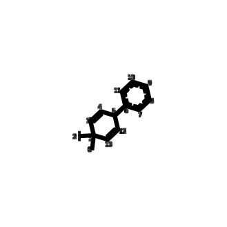 CC1(I)[C]=CC(c2ccccc2)C=C1